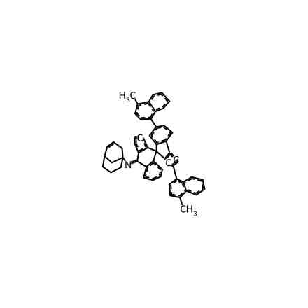 Cc1ccc(-c2ccc3c(c2)C2(c4ccccc4C(=NC45CC=CC(CCC4)C5)c4ccccc42)c2cc(-c4ccc(C)c5ccccc45)ccc2-3)c2ccccc12